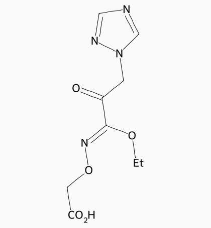 CCOC(=NOCC(=O)O)C(=O)Cn1cncn1